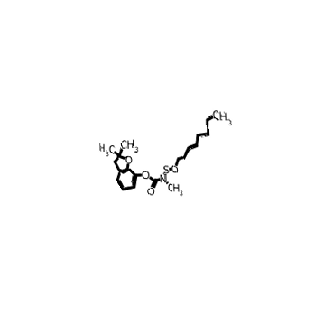 CCCCCCCCOSN(C)C(=O)Oc1cccc2c1OC(C)(C)C2